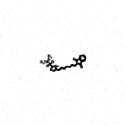 CN(C)S(=O)(=O)c1ncc(CCCCCCCN2C(=O)c3ccccc3C2=O)[nH]1